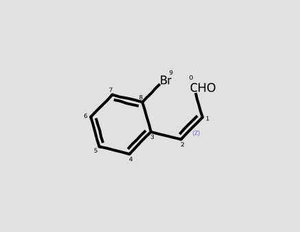 O=C/C=C\c1ccccc1Br